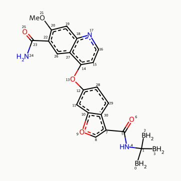 BC(B)(B)NC(=O)c1coc2cc(Oc3ccnc4cc(OC)c(C(N)=O)cc34)ccc12